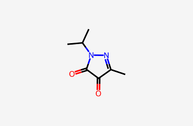 CC1=NN(C(C)C)C(=O)C1=O